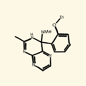 CCOc1ccccc1C1(NC)NC(C)=Nc2nccnc21